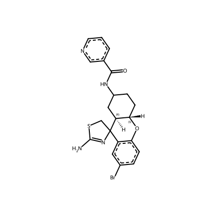 NC1=NC2(CS1)c1cc(Br)ccc1O[C@H]1CCC(NC(=O)c3cccnc3)C[C@@H]12